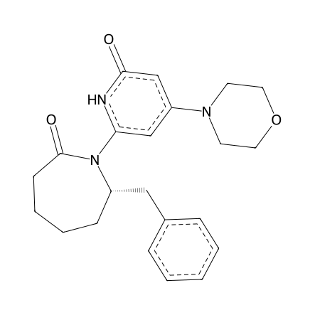 O=C1CCCC[C@@H](Cc2ccccc2)N1c1cc(N2CCOCC2)cc(=O)[nH]1